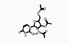 CC(=O)OCC1OC(N2C=CC(=O)NC2O)[C@@H](OC(C)=O)C1OC(C)=O